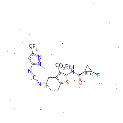 CCOC(=O)c1c(NC(=O)[C@H]2C[C@H]2F)sc2c1C[C@@H](N=C=Nc1cc(C(F)(F)F)nn1C)CC2